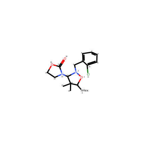 CCCCCCC1ON(Cc2ccccc2Cl)C(N2CCOC2=O)C1(C)C